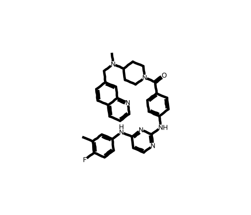 Cc1cc(Nc2ccnc(Nc3ccc(C(=O)N4CCC(N(C)Cc5ccc6cccnc6c5)CC4)cc3)n2)ccc1F